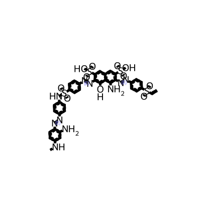 C=CS(=O)(=O)c1ccc(/N=N/c2c(S(=O)(=O)O)cc3cc(S(=O)(=O)O)c(/N=N/c4ccc(S(=O)(=O)Nc5ccc(/N=N/c6ccc(NC)cc6N)cc5)cc4)c(O)c3c2N)cc1